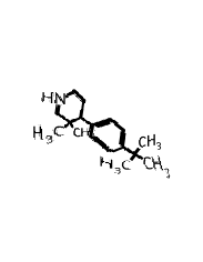 CC(C)(C)c1ccc(C2CCNCC2(C)C)cc1